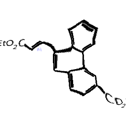 CCOC(=O)/C=C/c1cc2ccc(C(=O)O)cc2c2ccccc12